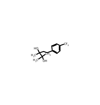 CC(C)(O)C(C)(O)CCc1ccc(C(F)(F)F)cc1